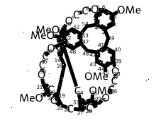 COc1cc2c3cc1OCCOc1cc4c(cc1OC)Cc1cc5c(OC)cc1Cc1cc(c(OC)cc1C4)OCCOc1cc(c(cc1OC)Cc1cc(c(OC)cc1C3)OCCO5)C2